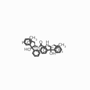 CC(C)C[C@@H](NC(=O)C(=O)N[C@H](CC(C)C)C(O)(c1ccccc1)c1ccccc1)C(O)(c1ccccc1)c1ccccc1